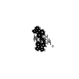 C[Si](C)(O[Si](C)(C)c1ccc2c(c1)C1(c3ccccc3-c3ccccc31)c1ccccc1-2)c1ccc2c(c1)C1(c3ccccc3-c3ccccc31)c1ccccc1-2